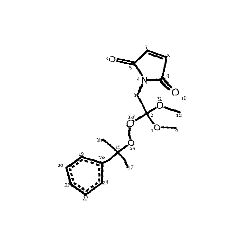 COC(CN1C(=O)C=CC1=O)(OC)OOC(C)(C)c1ccccc1